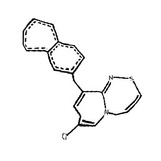 ClC1=CN2C=CSN=C2C(c2ccc3ccccc3c2)=C1